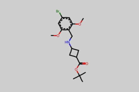 COc1cc(Br)cc(OC)c1CNC1CC(C(=O)OC(C)(C)C)C1